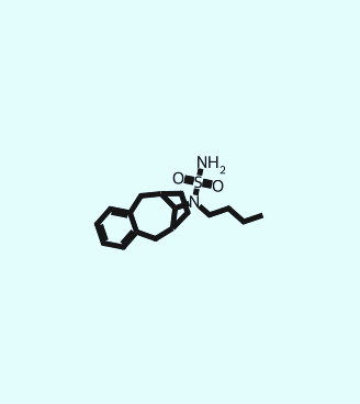 CCCCN(C1C2CCC1Cc1ccccc1C2)S(N)(=O)=O